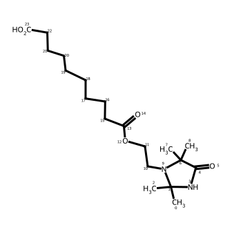 CC1(C)NC(=O)C(C)(C)N1CCOC(=O)CCCCCCCCC(=O)O